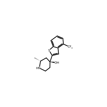 C[C@@H]1C[C@](O)(c2cc3c(C(F)(F)F)cccc3s2)CCN1